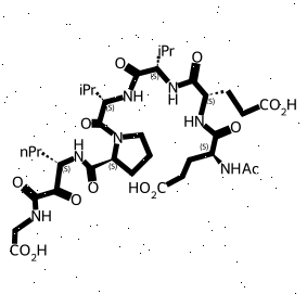 CCC[C@H](NC(=O)[C@@H]1CCCN1C(=O)[C@@H](NC(=O)[C@@H](NC(=O)[C@H](CCC(=O)O)NC(=O)[C@H](CCC(=O)O)NC(C)=O)C(C)C)C(C)C)C(=O)C(=O)NCC(=O)O